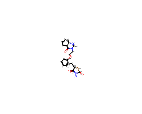 CCc1nc2ccccc2c(=O)n1CCOc1ccccc1CC1SC(=O)NC1=O